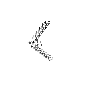 N.N.O.O.O.O.O.O.O.O.O.O.O.O.O.O.O.O.O.O.O=S(=O)(O)O